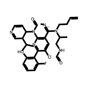 C=CCCN(/C(=N/C)c1cc(Cl)c(-c2c(O)cccc2F)nc1N(C=O)C1C=CN=CC1C(C)C)C(C)CNC=O